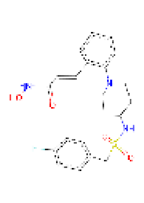 O=C(/C=C/c1ccccc1N1CCC(NS(=O)(=O)Cc2ccc(F)cc2)CC1)NO